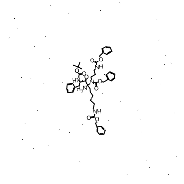 CC(C)(C)OC(=O)NC(Cc1ccccc1)C(=O)C(N)(CCCCCCNC(=O)OCc1ccccc1)N(CCCNC(=O)OCc1ccccc1)C(=O)OCc1ccccc1